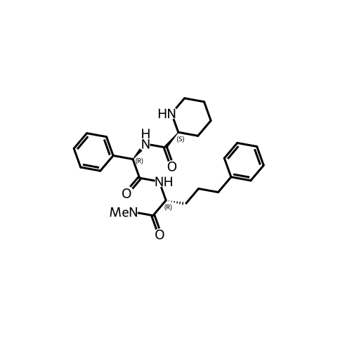 CNC(=O)[C@@H](CCCc1ccccc1)NC(=O)[C@H](NC(=O)[C@@H]1CCCCN1)c1ccccc1